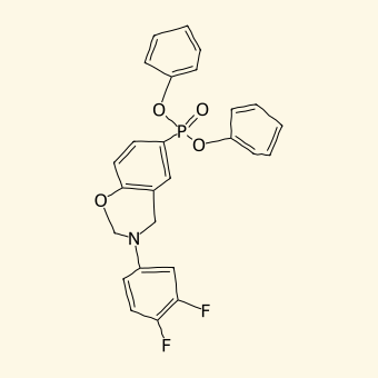 O=P(Oc1ccccc1)(Oc1ccccc1)c1ccc2c(c1)CN(c1ccc(F)c(F)c1)CO2